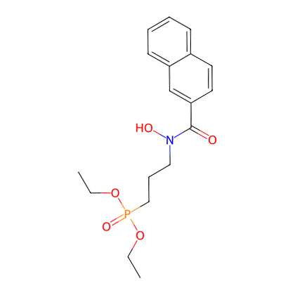 CCOP(=O)(CCCN(O)C(=O)c1ccc2ccccc2c1)OCC